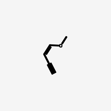 C#C/C=C\OC